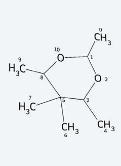 CC1OC(C)C(C)(C)C(C)O1